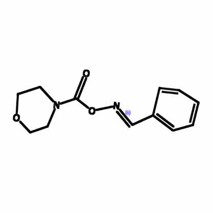 O=C(O/N=C/c1ccccc1)N1CCOCC1